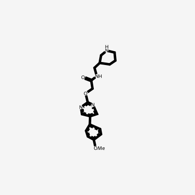 COc1ccc(-c2cnc(OCC(=O)NCC3CCCNC3)nc2)cc1